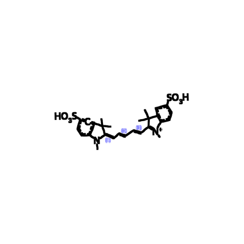 CN1/C(=C/C=C/C=C/C2=[N+](C)c3ccc(S(=O)(=O)O)cc3C2(C)C)C(C)(C)c2cc(S(=O)(=O)O)ccc21